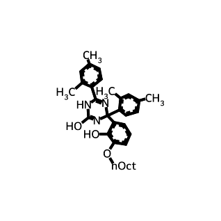 CCCCCCCCOc1cccc(C2(c3ccc(C)cc3C)N=C(O)NC(c3ccc(C)cc3C)=N2)c1O